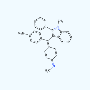 CN=C1C=CC(=C(c2ccc(NC)cc2)c2c(-c3ccccc3)n(C)c3ccccc23)C=C1